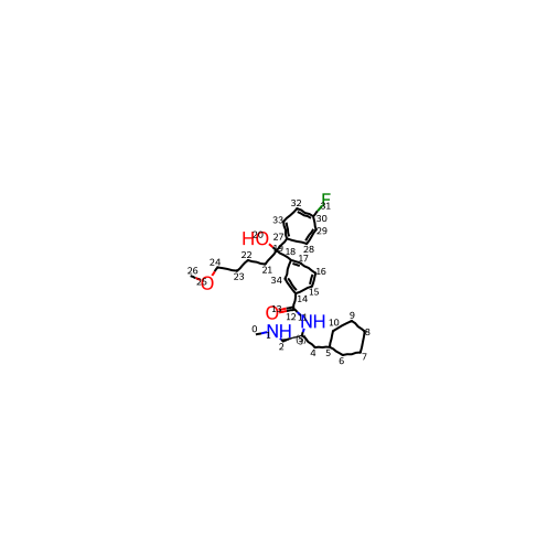 CNC[C@H](CC1CCCCC1)NC(=O)c1cccc(C(O)(CCCCOC)c2ccc(F)cc2)c1